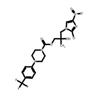 CC(O)(COC(=O)N1CCN(c2ccc(C(F)(F)F)cc2)CC1)Cn1cc([N+](=O)[O-])nc1Cl